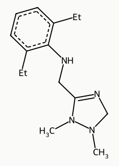 CCc1cccc(CC)c1NCC1=NCN(C)N1C